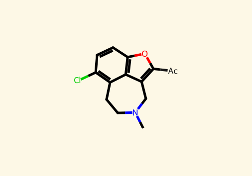 CC(=O)c1oc2ccc(Cl)c3c2c1CN(C)CC3